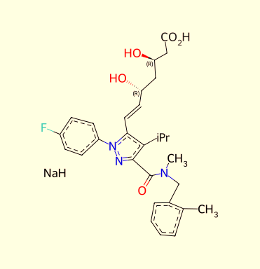 Cc1ccccc1CN(C)C(=O)c1nn(-c2ccc(F)cc2)c(C=C[C@H](O)C[C@@H](O)CC(=O)O)c1C(C)C.[NaH]